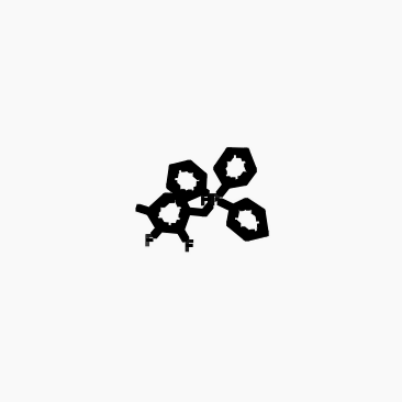 Cc1ccc(C[PH](c2ccccc2)(c2ccccc2)c2ccccc2)c(F)c1F